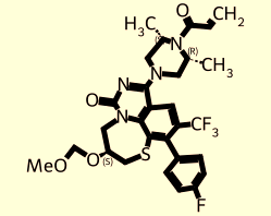 C=CC(=O)N1[C@H](C)CN(c2nc(=O)n3c4c(c(-c5ccc(F)cc5)c(C(F)(F)F)cc24)SC[C@@H](OCOC)C3)C[C@@H]1C